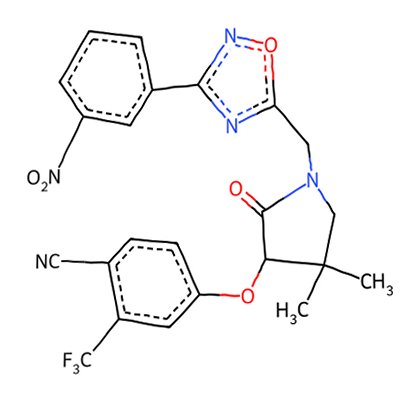 CC1(C)CN(Cc2nc(-c3cccc([N+](=O)[O-])c3)no2)C(=O)C1Oc1ccc(C#N)c(C(F)(F)F)c1